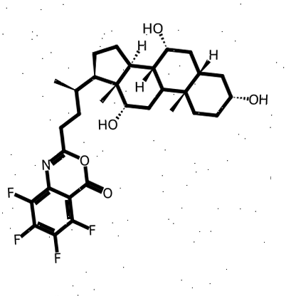 C[C@H](CCc1nc2c(F)c(F)c(F)c(F)c2c(=O)o1)[C@H]1CC[C@H]2[C@H]3C(C[C@H](O)[C@]12C)[C@@]1(C)CC[C@@H](O)C[C@H]1C[C@H]3O